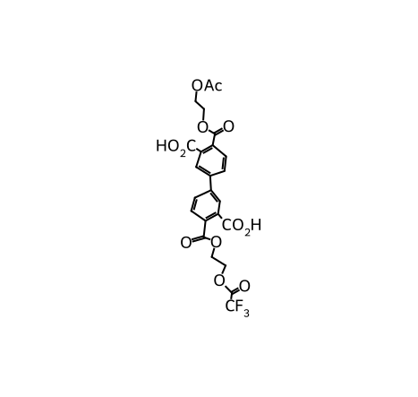 CC(=O)OCCOC(=O)c1ccc(-c2ccc(C(=O)OCCOC(=O)C(F)(F)F)c(C(=O)O)c2)cc1C(=O)O